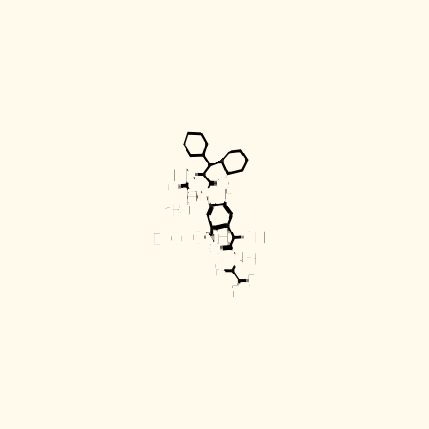 CCOC(=O)Nc1cc(NC(=O)C(NC(=O)OC(C)(C)C)C(C2CCCCC2)C2CCCCC2)c(F)cc1C(C)C(=O)NC(F)C(F)F